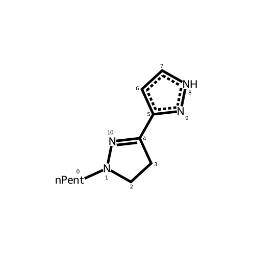 CCCCCN1CCC(c2cc[nH]n2)=N1